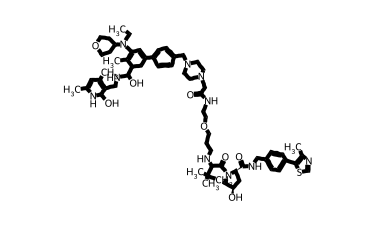 CCN(C1=C(C)C(C(O)NCC2=C(C)C=C(C)NC2O)CC(c2ccc(CN3CCN(CC(=O)NCCOCCCNC(C(=O)N4C[C@H](O)C[C@H]4C(=O)NCc4ccc(-c5scnc5C)cc4)C(C)(C)C)CC3)cc2)=C1)C1CCOCC1